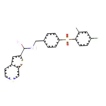 O=S(=O)(c1ccc(CNC(O)c2cc3ccncc3s2)cc1)c1ccc(Cl)cc1C(F)(F)F